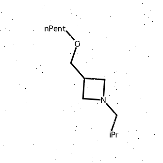 CCCCCOCC1CN(CC(C)C)C1